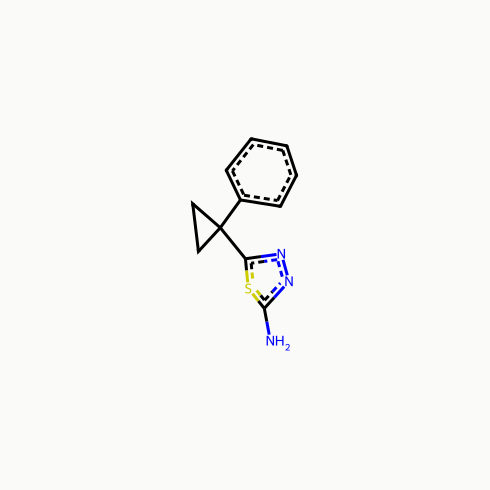 Nc1nnc(C2(c3ccccc3)CC2)s1